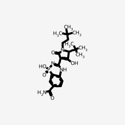 CC(C)(C)CCN1C(=O)C(C2=NP(=O)(O)c3cc(C(N)=O)ccc3N2)=C(O)C1C(C)(C)C